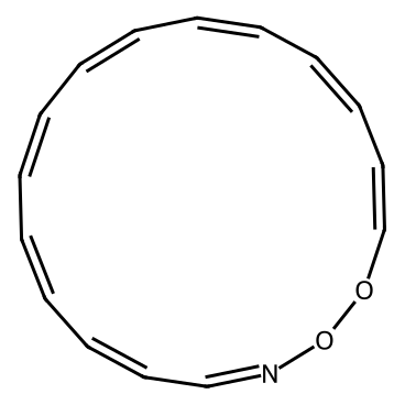 C1=CC=CC=CC=COON=CC=CC=CC=C1